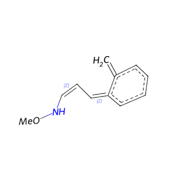 C=c1cccc/c1=C/C=C\NOC